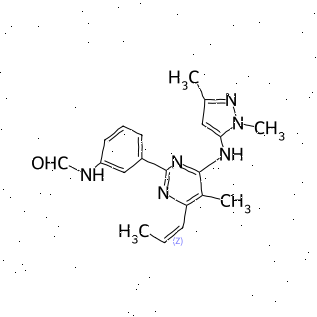 C/C=C\c1nc(-c2cccc(NC=O)c2)nc(Nc2cc(C)nn2C)c1C